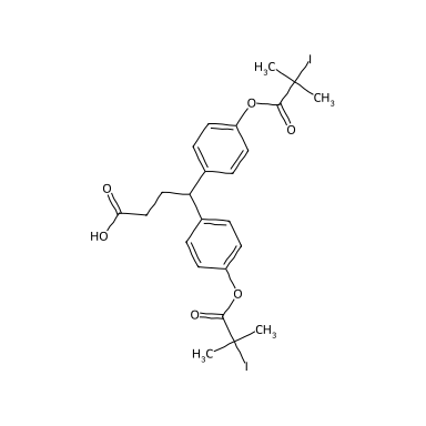 CC(C)(I)C(=O)Oc1ccc(C(CCC(=O)O)c2ccc(OC(=O)C(C)(C)I)cc2)cc1